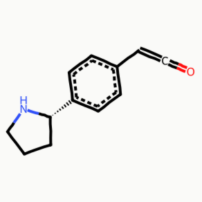 O=C=Cc1ccc([C@@H]2CCCN2)cc1